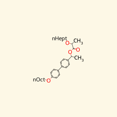 CCCCCCCCOc1ccc(-c2ccc(C(C)OC(=O)C(C)OCCCCCCC)cc2)cc1